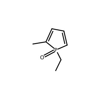 CCP1(=O)C=CC=C1C